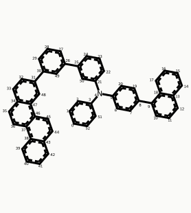 c1ccc(N(c2ccc(-c3cccc4ccccc34)cc2)c2cccc(-c3cccc(-c4ccc5ccc6c7ccccc7ccc6c5c4)c3)c2)cc1